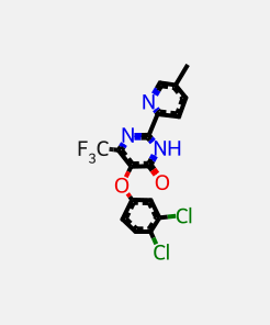 Cc1ccc(-c2nc(C(F)(F)F)c(Oc3ccc(Cl)c(Cl)c3)c(=O)[nH]2)nc1